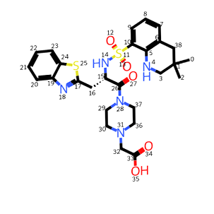 CC1(C)CNc2c(cccc2S(=O)(=O)N[C@@H](Cc2nc3ccccc3s2)C(=O)N2CCN(CC(=O)O)CC2)C1